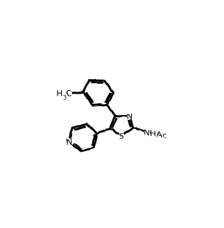 CC(=O)Nc1nc(-c2cccc(C)c2)c(-c2ccncc2)s1